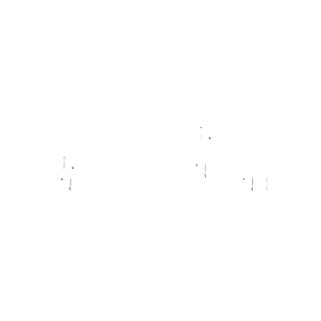 C=C(Nc1cc2cc(-c3cnn(C)c3)ccc2cn1)C1CNC1